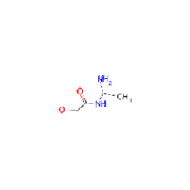 CC(N)NC(=O)C[O]